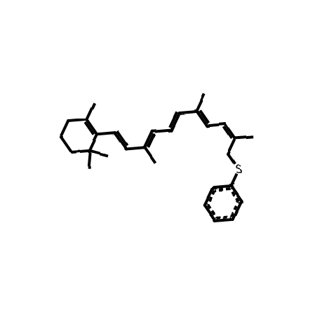 CC(C=CC1=C(C)CCCC1(C)C)=CC=CC(C)=CC=C(C)CSc1ccccc1